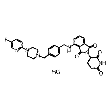 Cl.O=C1CCC(N2C(=O)c3cccc(NCc4ccc(CN5CCN(c6ccc(F)cn6)CC5)cc4)c3C2=O)C(=O)N1